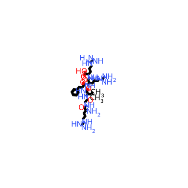 CC(C)C(NC(=O)CNC(=O)C(N)CCCNC(=N)N)C(=O)NC(Cc1ccccc1)C(=O)NC(CCCNC(=N)N)C(=O)NC(CCCNC(=N)N)C(=O)O